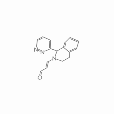 O=CC=CN1CCc2ccccc2C1c1cccnn1